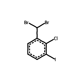 Clc1c(I)cccc1C(Br)Br